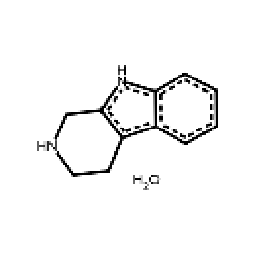 O.c1ccc2c3c([nH]c2c1)CNCC3